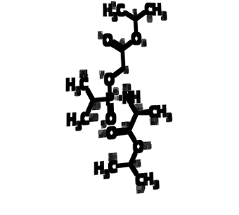 CC(C)OC(=O)CO[P@](=O)(N[C@@H](C)C(=O)OC(C)C)C(C)C